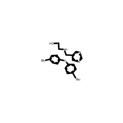 CC(C)(C)c1ccc(Oc2ccc(C(C)(C)C)cc2)cc1.OCCNCc1cncnc1